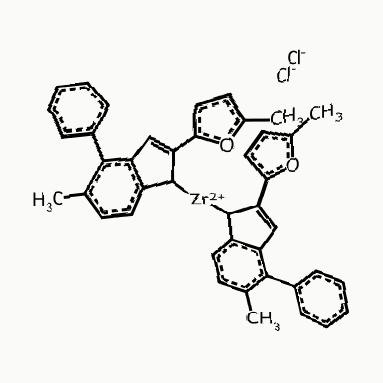 Cc1ccc(C2=Cc3c(ccc(C)c3-c3ccccc3)[CH]2[Zr+2][CH]2C(c3ccc(C)o3)=Cc3c2ccc(C)c3-c2ccccc2)o1.[Cl-].[Cl-]